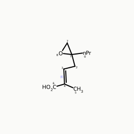 CCCC1(C/C=C(\C)C(=O)O)CO1